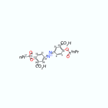 CCCC(=O)Oc1ccc(/N=N/c2ccc(OC(=O)CCC)c(C(=O)O)c2)cc1C(=O)O